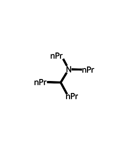 CCCC(CCC)N(CCC)CCC